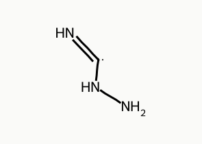 N=[C]NN